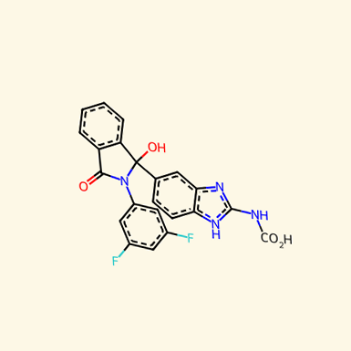 O=C(O)Nc1nc2cc(C3(O)c4ccccc4C(=O)N3c3cc(F)cc(F)c3)ccc2[nH]1